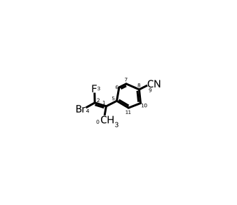 C/C(=C(/F)Br)c1ccc(C#N)cc1